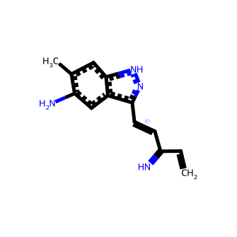 C=CC(=N)/C=C/c1n[nH]c2cc(C)c(N)cc12